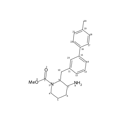 COC(=O)N1CCCC(N)C1Cc1cccc(-c2ccc(C)cc2)c1